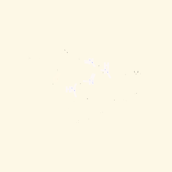 CCOC(=O)C(C#N)C(=O)c1cnc(Nc2ccccc2OC)nc1Nc1ccccc1